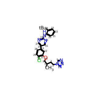 CC(CCn1cnnn1)COc1cc(-c2cnc(Nc3ccccc3C(C)(C)C)nc2)ccc1Cl